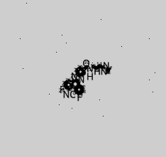 N#Cc1cc(-c2nc3cc(C(=O)NCCCc4ncc[nH]4)ccc3nc2-c2ccc(F)cc2)ccc1F